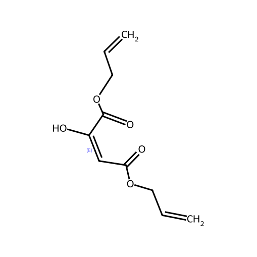 C=CCOC(=O)/C=C(/O)C(=O)OCC=C